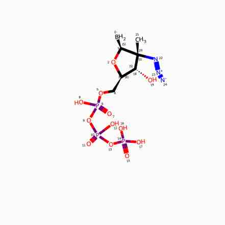 B[C@@H]1O[C@H](COP(=O)(O)OP(=O)(O)OP(=O)(O)O)[C@@H](O)[C@@]1(C)N=[N+]=[N-]